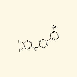 CC(=O)c1cccc(-c2ccc(Oc3ccc(F)c(F)c3)cc2)c1